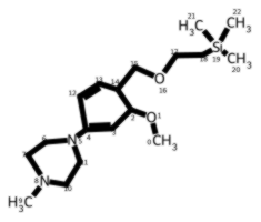 COC1C=C(N2CCN(C)CC2)C=CC1COCC[Si](C)(C)C